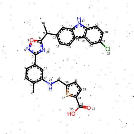 Cc1ccc(-c2noc(C(C)c3ccc4c(c3)[nH]c3ccc(Cl)cc34)n2)cc1NCc1ccc(C(=O)O)s1